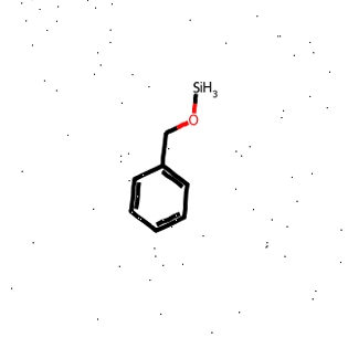 [SiH3]OCc1ccccc1